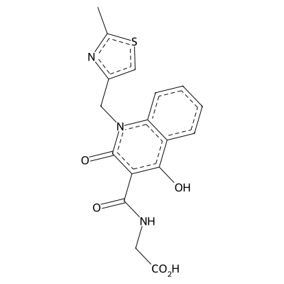 Cc1nc(Cn2c(=O)c(C(=O)NCC(=O)O)c(O)c3ccccc32)cs1